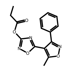 CCC(=O)Oc1noc(-c2c(-c3ccccc3)noc2C)n1